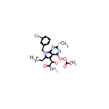 CCc1c(C(=O)C(N)=O)c2c(OOC(C)=O)nc(SC)nc2n1Cc1cccc(Cl)c1